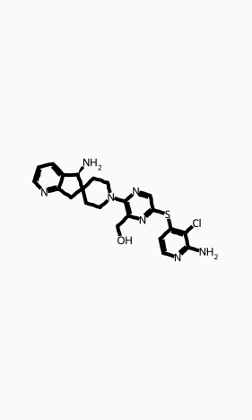 Nc1nccc(Sc2cnc(N3CCC4(CC3)Cc3ncccc3[C@H]4N)c(CO)n2)c1Cl